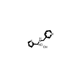 Cl.Cl.c1cncc(CNCc2cccs2)c1